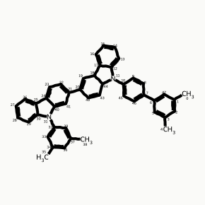 Cc1cc(C)cc(-c2ccc(N3c4ccccc4C4C=C(c5ccc6c7ccccc7n(-c7cc(C)cc(C)c7)c6c5)C=CC43)cc2)c1